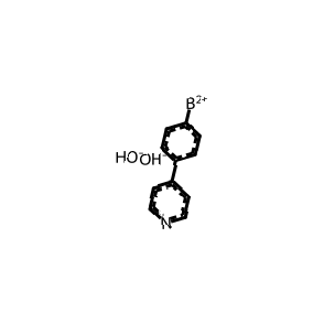 [B+2]c1ccc(-c2ccncc2)cc1.[OH-].[OH-]